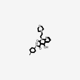 C[C@H]1CC[C@@H](NC(=O)c2c(O)c3cccnc3n(CCN3CCOCC3)c2=O)CC1